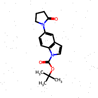 CC(C)(C)OC(=O)n1ccc2cc(N3CCCC3=O)ccc21